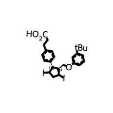 CC(C)(C)c1cccc(OC[C@H]2C(I)CC(I)[C@@H]2c2ccc(CCC(=O)O)cc2)c1